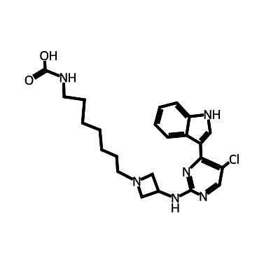 O=C(O)NCCCCCCCN1CC(Nc2ncc(Cl)c(-c3c[nH]c4ccccc34)n2)C1